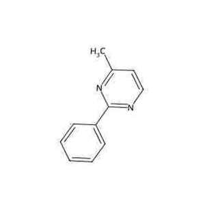 Cc1ccnc(-c2[c]cccc2)n1